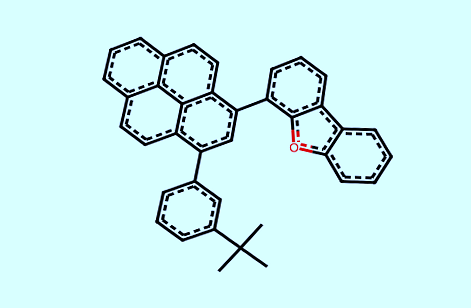 CC(C)(C)c1cccc(-c2cc(-c3cccc4c3oc3ccccc34)c3ccc4cccc5ccc2c3c54)c1